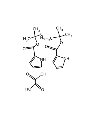 CC(C)(C)OC(=O)c1ccc[nH]1.CC(C)(C)OC(=O)c1ccc[nH]1.O=C(O)C(=O)O